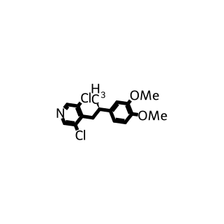 COc1ccc([C@@H](C)Cc2c(Cl)cncc2Cl)cc1OC